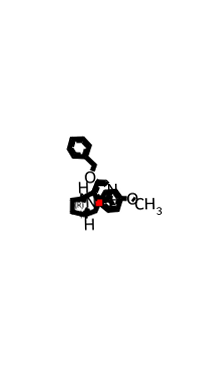 COc1ccc(N2[C@H]3CC[C@@H]2c2c(OCc4ccccc4)cnc(F)c2C3)cc1